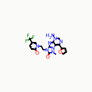 CN1C(=O)N(CCn2cc(C(F)(F)F)ccc2=O)C2N=C3C(=C(c4ccco4)N=CN3N)N21